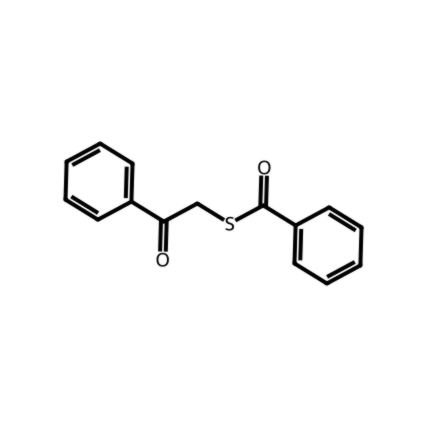 O=C(CSC(=O)c1ccccc1)c1ccccc1